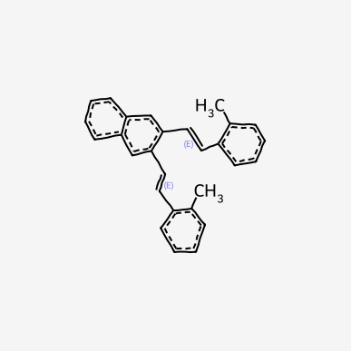 Cc1ccccc1/C=C/c1cc2ccccc2cc1/C=C/c1ccccc1C